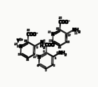 Nc1cccnc1C(=O)[O-].Nc1cccnc1C(=O)[O-].Nc1cccnc1C(=O)[O-].[Y+3]